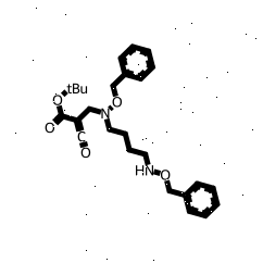 CC(C)(C)OC(=O)C(=C=O)CN(CCCCNOCc1ccccc1)OCc1ccccc1